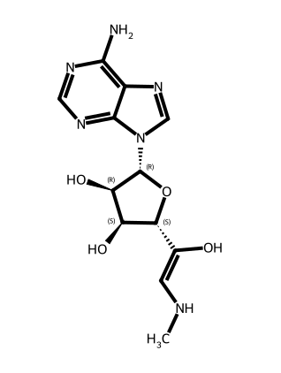 CNC=C(O)[C@H]1O[C@@H](n2cnc3c(N)ncnc32)[C@H](O)[C@@H]1O